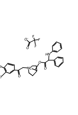 O=C(C[N+]12CCC(CC1)C(OC(=O)C(Nc1ccccc1)c1ccccc1)C2)c1ccc(Cl)c(Cl)c1.O=C([O-])C(F)(F)F